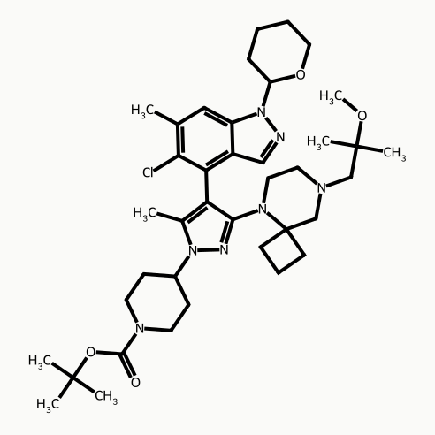 COC(C)(C)CN1CCN(c2nn(C3CCN(C(=O)OC(C)(C)C)CC3)c(C)c2-c2c(Cl)c(C)cc3c2cnn3C2CCCCO2)C2(CCC2)C1